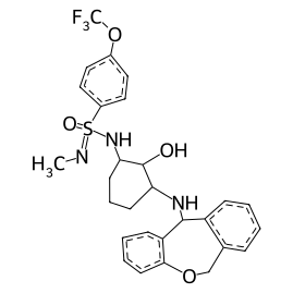 CN=S(=O)(NC1CCCC(NC2c3ccccc3COc3ccccc32)C1O)c1ccc(OC(F)(F)F)cc1